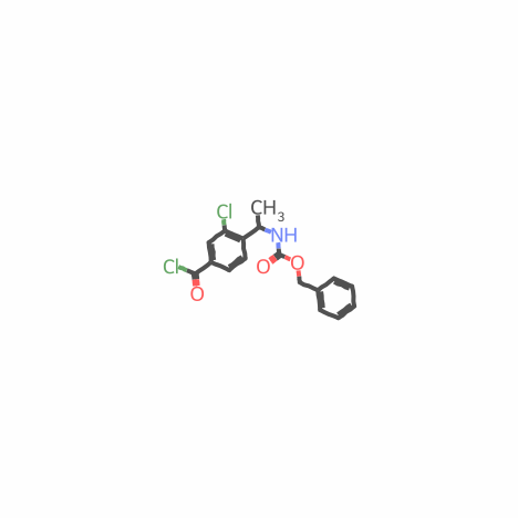 CC(NC(=O)OCc1ccccc1)c1ccc(C(=O)Cl)cc1Cl